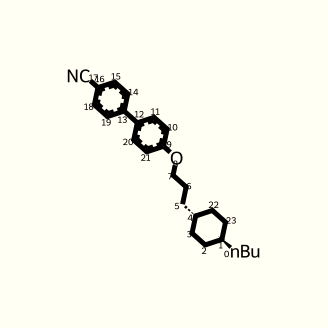 CCCC[C@H]1CC[C@H](CCCOc2ccc(-c3ccc(C#N)cc3)cc2)CC1